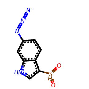 [N-]=[N+]=Nc1ccc2c([SH](=O)=O)c[nH]c2c1